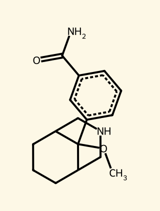 COC1(c2cccc(C(N)=O)c2)C2CCCC1CNC2